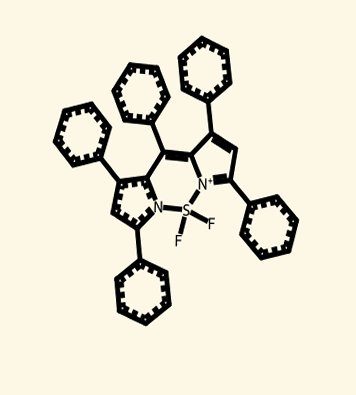 FS1(F)n2c(-c3ccccc3)cc(-c3ccccc3)c2C(c2ccccc2)=C2C(c3ccccc3)=CC(c3ccccc3)=[N+]21